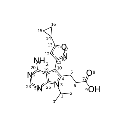 CC(C)n1c(CCC(=O)O)c(-c2cc(C3CC3)on2)c2c(N)ncnc21